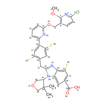 COc1nc(Cl)ccc1COc1cccc(-c2cc(F)c(Cc3nc4c(F)cc(C(=O)O)cc4n3C3COCC3(C)C)cc2F)n1